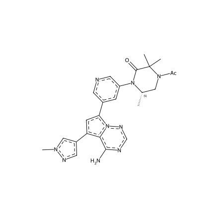 CC(=O)N1C[C@H](C)N(c2cncc(-c3cc(-c4cnn(C)c4)c4c(N)ncnn34)c2)C(=O)C1(C)C